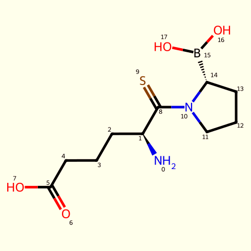 N[C@@H](CCCC(=O)O)C(=S)N1CCC[C@H]1B(O)O